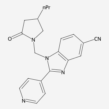 CCCC1CC(=O)N(Cn2c(-c3ccncc3)nc3cc(C#N)ccc32)C1